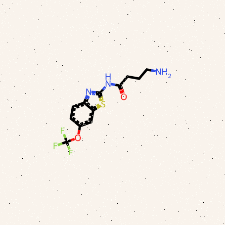 NCCCC(=O)Nc1nc2ccc(OC(F)(F)F)cc2s1